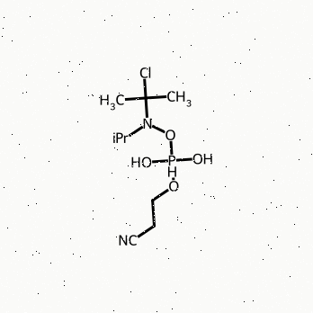 CC(C)N(O[PH](O)(O)OCCC#N)C(C)(C)Cl